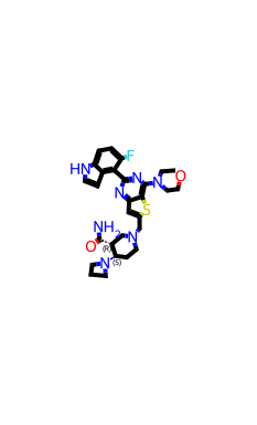 NC(=O)[C@@H]1CN(Cc2cc3nc(-c4c(F)ccc5[nH]ccc45)nc(N4CCOCC4)c3s2)CC[C@@H]1N1CCC1